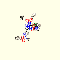 CC(C)(C)OC(=O)N(c1ccc(-c2cnn3c(N(COCC[Si](C)(C)C)COCC[Si](C)(C)C)c(Br)c(C4CC5CCC(C4)N5C(=O)OC(C)(C)C)nc23)cn1)C1CC1